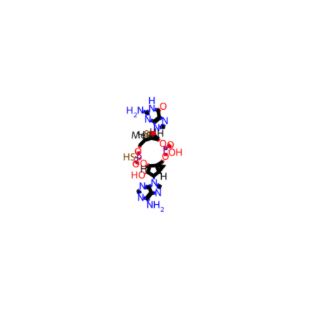 CO[C@H]1[C@H]2OP(=O)(O)OCC34C[C@@H]3[C@@H](n3cnc5c(N)ncnc53)[C@H](O)[C@@H]4O[P@@](=O)(S)OC[C@H]1S[C@H]2n1cnc2c(=O)[nH]c(N)nc21